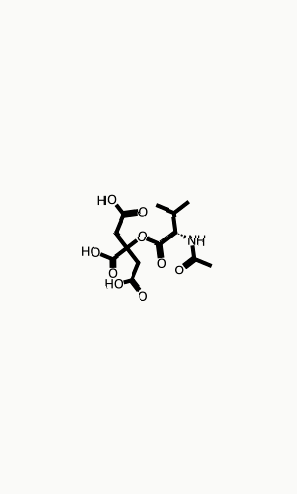 CC(=O)N[C@H](C(=O)OC(CC(=O)O)(CC(=O)O)C(=O)O)C(C)C